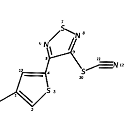 Cc1csc(-c2nsnc2SC#N)c1